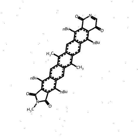 CCCCc1c2c(c(CCCC)c3cc4c(C)c5cc6c(CCCC)c7c(c(CCCC)c6cc5c(C)c4cc13)C(=O)N(C)C7=O)C(=O)N=CC2=O